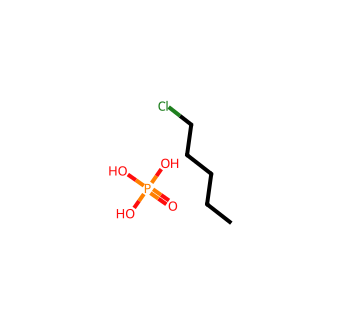 CCCCCCl.O=P(O)(O)O